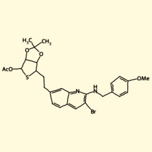 COc1ccc(CNc2nc3cc(CCC4SC(OC(C)=O)C5OC(C)(C)OC45)ccc3cc2Br)cc1